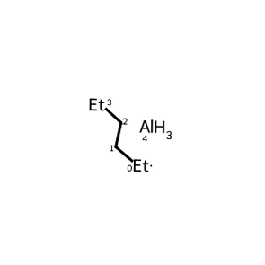 C[CH]CCCC.[AlH3]